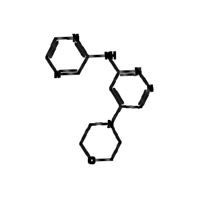 c1cnc(Nc2cc(N3CCOCC3)cnn2)cn1